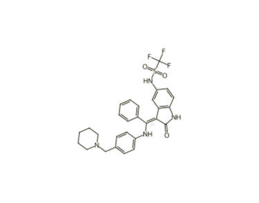 O=C1Nc2ccc(NS(=O)(=O)C(F)(F)F)cc2/C1=C(/Nc1ccc(CN2CCCCC2)cc1)c1ccccc1